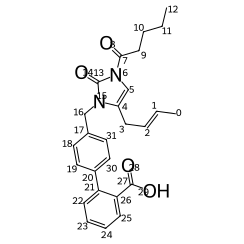 C/C=C/Cc1cn(C(=O)CCCC)c(=O)n1Cc1ccc(-c2ccccc2C(=O)O)cc1